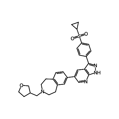 O=S(=O)(c1ccc(-c2n[nH]c3ncc(-c4ccc5c(c4)CCN(CC4CCOC4)CC5)cc23)cc1)C1CC1